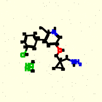 Cc1ncc(OCC2(CN)CC2)cc1-c1cccc(Cl)c1.Cl.Cl